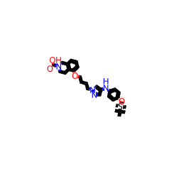 CC(C)(C)[Si](C)(C)Oc1ccc(Nc2cnn(CCCCOc3cccc4c3CCN(C(=O)O)C4)c2)cc1